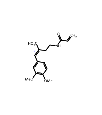 C=CC(=O)NCC/C(=C\c1ccc(OC)c(OC)c1)C(=O)O